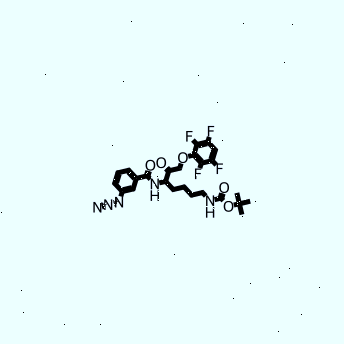 CC(C)(C)OC(=O)NCCCCC(NC(=O)c1cccc(N=[N+]=[N-])c1)C(=O)COc1c(F)c(F)cc(F)c1F